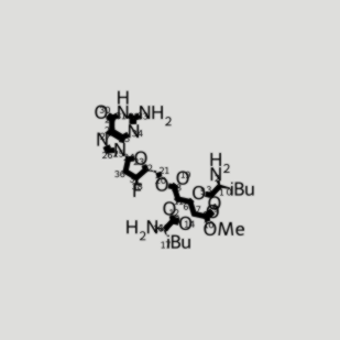 CC[C@H](C)[C@H](N)C(=O)OC(CC(=O)OC)C(OC(=O)[C@@H](N)[C@@H](C)CC)C(=O)OC[C@H]1O[C@@H](n2cnc3c(=O)[nH]c(N)nc32)C[C@@H]1F